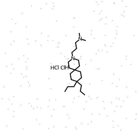 CCCC1(CCC)CCC2(CCN(CCCN(C)C)CC2)CC1.Cl.Cl